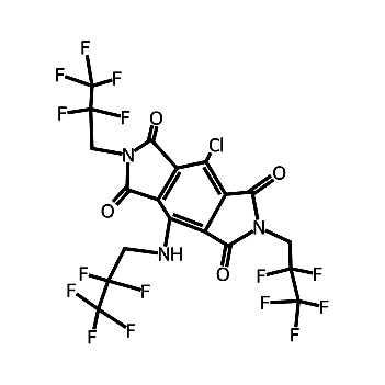 O=c1c2c(Cl)c3c(=O)n(CC(F)(F)C(F)(F)F)c(=O)c3c(NCC(F)(F)C(F)(F)F)c2c(=O)n1CC(F)(F)C(F)(F)F